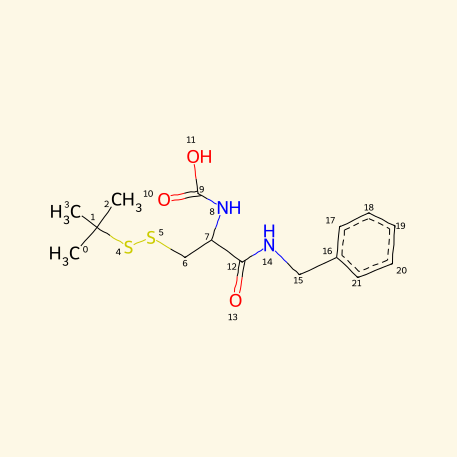 CC(C)(C)SSCC(NC(=O)O)C(=O)NCc1ccccc1